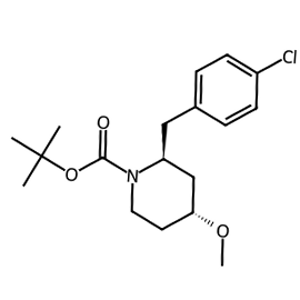 CO[C@@H]1CCN(C(=O)OC(C)(C)C)[C@@H](Cc2ccc(Cl)cc2)C1